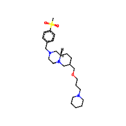 CS(=O)(=O)c1ccc(CN2CCN3CC(COCCCN4CCCCC4)CC[C@H]3C2)cc1